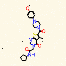 COc1ccc(N2CCN(C(=O)c3sc4ncn(CC(=O)NC5CCCC5)c(=O)c4c3C)CC2)cc1